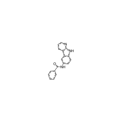 O=C(Nc1ccc2[nH]c3ncccc3c2c1)c1ccccc1